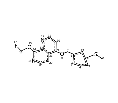 CSc1cccc(COc2ccnc3c(OCF)nccc23)c1